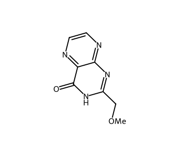 COCc1nc2nccnc2c(=O)[nH]1